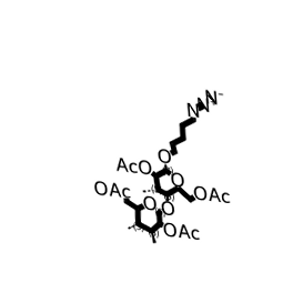 CC(=O)OCC1O[C@@H](O[C@@H]2C(COC(C)=O)O[C@@H](OCCCCCN=[N+]=[N-])C(OC(C)=O)[C@H]2C)C(OC(C)=O)[C@@H](C)[C@@H]1C